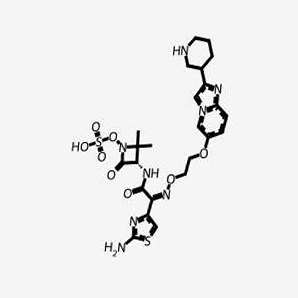 CC1(C)[C@H](NC(=O)/C(=N\OCCOc2ccc3nc(C4CCCNC4)cn3c2)c2csc(N)n2)C(=O)N1OS(=O)(=O)O